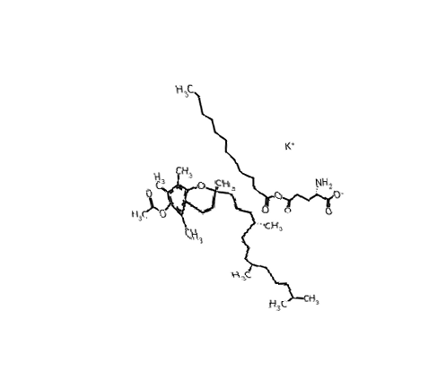 CC(=O)Oc1c(C)c(C)c2c(c1C)CC[C@@](C)(CCC[C@H](C)CCC[C@H](C)CCCC(C)C)O2.CCCCCCCCCCCC(=O)OC(=O)CC[C@H](N)C(=O)[O-].[K+]